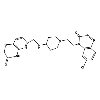 O=C1COc2ccc(CNC3CCN(CCn4c(=O)nnc5ccc(Cl)cc54)CC3)nc2N1